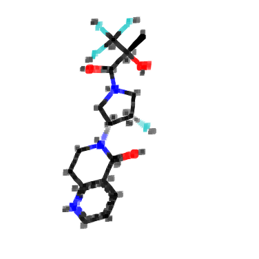 C[C@@](O)(C(=O)N1C[C@@H](N2CCc3ncccc3C2=O)[C@@H](F)C1)C(F)(F)F